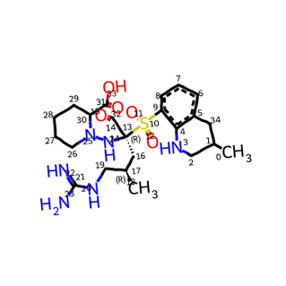 CC1CNc2c(cccc2S(=O)(=O)[C@@](C=O)(C[C@@H](C)CNC(=N)N)NN2CCCCC2C(=O)O)C1